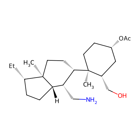 CC[C@H]1CC[C@H]2[C@@H](CN)[C@@H]([C@@]3(C)CC[C@H](OC(C)=O)C[C@@H]3CO)CC[C@]12C